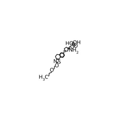 CCCCOCCOc1nc2c(s1)-c1ccc([C@H]3CC[C@](N)(COP(=O)(O)O)C3)cc1CC2